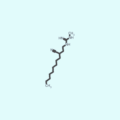 CCCCCCCCCC(C#N)CCNC(=N)NC